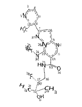 Cc1ncccc1-c1cc2ncc(C(=O)NC[C@@H](F)C(C)(C)O)c(NC(C)C)n2n1